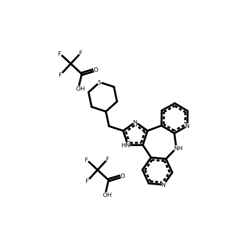 O=C(O)C(F)(F)F.O=C(O)C(F)(F)F.c1cnc2c(c1)-c1nc(CC3CCSCC3)[nH]c1-c1ccncc1N2